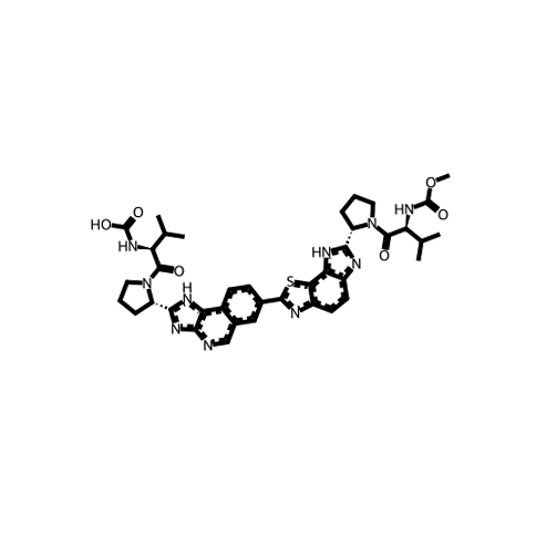 COC(=O)N[C@H](C(=O)N1CCC[C@H]1c1nc2ccc3nc(-c4ccc5c(cnc6nc([C@@H]7CCCN7C(=O)[C@@H](NC(=O)O)C(C)C)[nH]c65)c4)sc3c2[nH]1)C(C)C